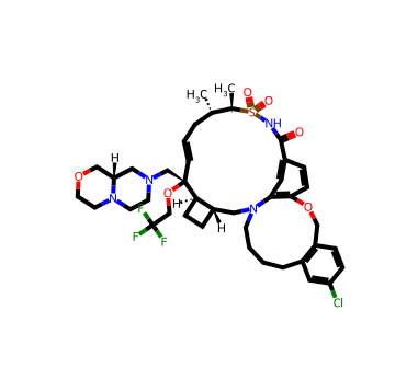 C[C@@H]1[C@@H](C)C/C=C/[C@@](CN2CCN3CCOC[C@@H]3C2)(OCC(F)(F)F)[C@@H]2CC[C@H]2CN2CCCCc3cc(Cl)ccc3COc3ccc(cc32)C(=O)NS1(=O)=O